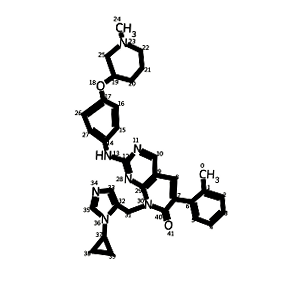 Cc1ccccc1-c1cc2cnc(Nc3ccc(OC4CCCN(C)C4)cc3)nc2n(Cc2cncn2C2CC2)c1=O